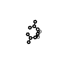 C1=CC2Oc3cc4oc5ccc(-c6cc(-c7ccccc7)cc(-c7ccccc7)c6)cc5c4cc3C2C=C1c1cc(-c2ccccc2)cc(-c2ccccc2)c1